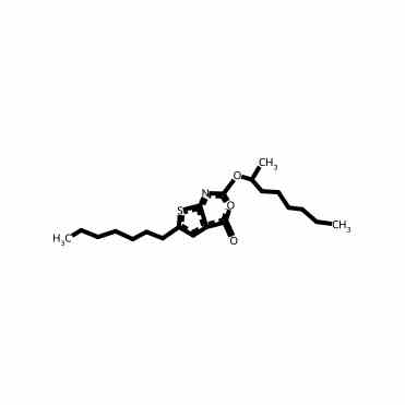 CCCCCCCc1cc2c(=O)oc(OC(C)CCCCCC)nc2s1